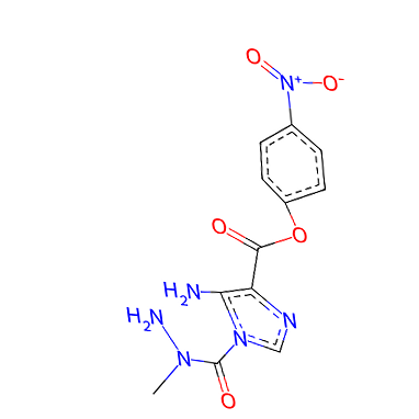 CN(N)C(=O)n1cnc(C(=O)Oc2ccc([N+](=O)[O-])cc2)c1N